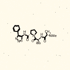 CC[C@H](C)[C@H](NC(=O)[C@H](C)NC)C(=O)N1CCC[C@H]1C(=O)Nc1snnc1-c1ccccc1